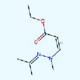 CCOC(=O)/C=C\N(C)N=C(C)C